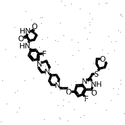 O=C1CCC(Nc2ccc(N3CCN(C4CCN(CCOc5cc(F)c6c(=O)[nH]c(CSC7CCOCC7)nc6c5)CC4)CC3)c(F)c2)C(=O)N1